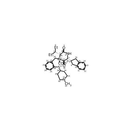 CCC(CC)[C@@H]1C(=O)N[C@H](C2Cc3ccccc3C2)C(=O)[N+]1(Cc1ccccc1SC1CCN(C)CC1)C(=O)[O-]